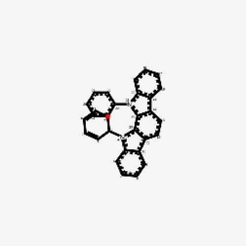 C1=CCC(n2c3ccccc3c3ccc4c5ccccc5n(-c5ccccc5)c4c32)C=C1